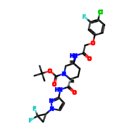 CC(C)(C)OC(=O)N1C[C@@H](NC(=O)COc2ccc(Cl)c(F)c2)CC[C@@H]1C(=O)Nc1ccn(C2CC2(F)F)n1